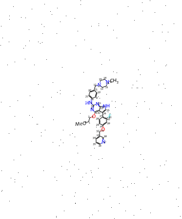 COCCOc1nc(Nc2ccc(CN3CCN(C)CC3)cc2)nc2[nH]cc(-c3ccc(OCc4cccnc4)cc3F)c12